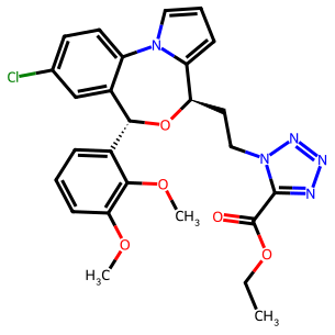 CCOC(=O)c1nnnn1CC[C@H]1O[C@H](c2cccc(OC)c2OC)c2cc(Cl)ccc2-n2cccc21